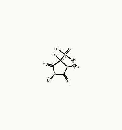 CCN1C(=O)N(C)C(CC)(P(=O)(O)O)C1=O